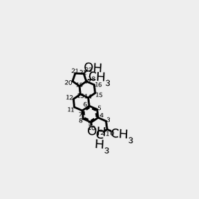 CC(C)Cc1cc2c(cc1O)CCC1C2CC[C@@]2(C)C1CC[C@@H]2O